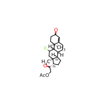 CC(=O)OCC(=O)[C@H]1CC[C@H]2[C@@H]3CCC4=CC(=O)CC[C@]4(C)[C@H]3C(F)C[C@]12C